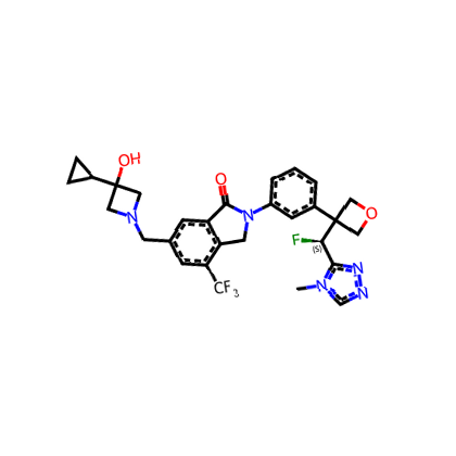 Cn1cnnc1[C@@H](F)C1(c2cccc(N3Cc4c(cc(CN5CC(O)(C6CC6)C5)cc4C(F)(F)F)C3=O)c2)COC1